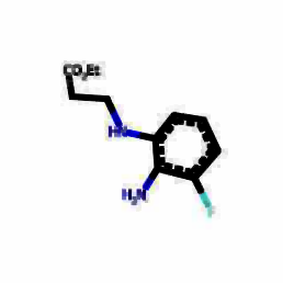 CCOC(=O)CCNc1cccc(F)c1N